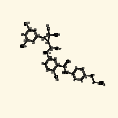 O=C(Nc1ccc(SCC(F)(F)F)cc1)c1cc(NC(=O)C2C(c3cc(Cl)cc(Cl)c3)C2(Cl)Cl)ccc1Cl